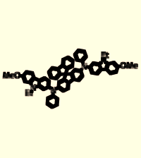 CCn1c2cc(OC)ccc2c2ccc(N(c3ccccc3)c3ccc4c(c3)C3(c5ccccc5-c5ccccc53)c3cc(N(c5ccccc5)c5ccc6c7ccc(OC)cc7n(CC)c6c5)ccc3-4)cc21